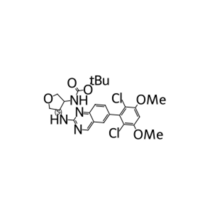 COc1cc(OC)c(Cl)c(-c2ccc3nc(N[C@@H]4COCC4NC(=O)OC(C)(C)C)ncc3c2)c1Cl